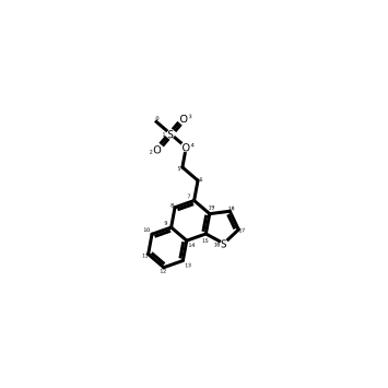 CS(=O)(=O)OCCc1cc2ccccc2c2sccc12